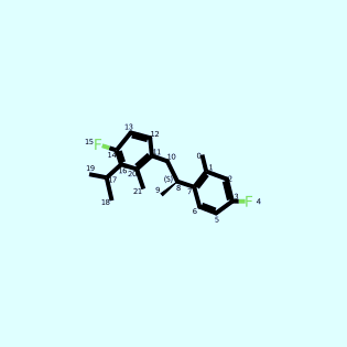 Cc1cc(F)ccc1[C@@H](C)Cc1ccc(F)c(C(C)C)c1C